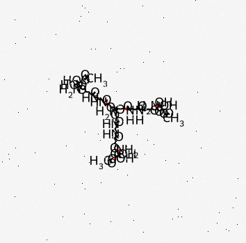 CC(=O)OCC1OC(OCCCCC(=O)NCCCNC(=O)CCOCC(N)(COCCC(=O)NCCCNC(=O)CCCCOC2OC(COC(C)=O)C(O)C(O)C2N)COCCC(=O)NCCCNC(=O)CCCCOC2OC(COC(C)=O)C(O)C(O)C2N)C(N)C(O)C1O